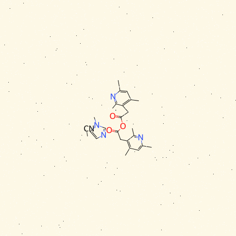 CC#N.Cc1cc(C)c(CC(=O)OC(=O)Cc2c(C)cc(C)nc2C)c(C)n1.Cn1ccnc1